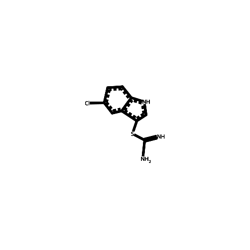 N=C(N)Sc1c[nH]c2ccc(Cl)cc12